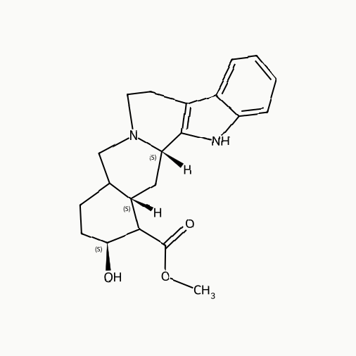 COC(=O)C1[C@H]2C[C@H]3c4[nH]c5ccccc5c4CCN3CC2CC[C@@H]1O